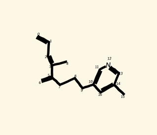 C=C/C=C(\C)C(=C)CCCc1cncc(C)c1